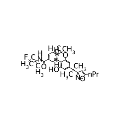 CCCc1cc(C(C)(C)c2cc(O)c3c(c2)OC(C)(C)[C@@H]2CC=C(C(=O)NC(C)(C)C(F)(F)F)C[C@@H]32)no1